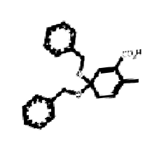 CC1=CCC(OCc2ccccc2)(OCc2ccccc2)C=C1C(=O)O